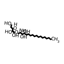 CCCCCCCCCCCCCC[C@@H](O)C(O)[C@@H](N)CO/C(O)=C(/O)C(O)CCO